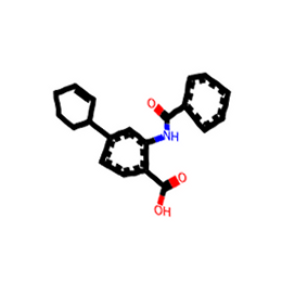 O=C(Nc1cc(C2C=CCCC2)ccc1C(=O)O)c1ccccc1